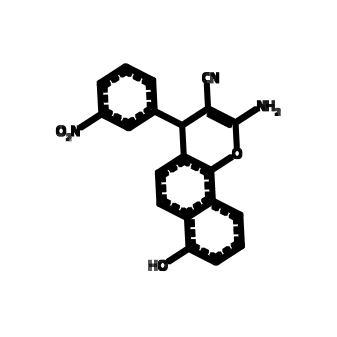 N#CC1=C(N)Oc2c(ccc3c(O)cccc23)C1c1cccc([N+](=O)[O-])c1